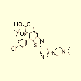 Cc1cc2nc(-c3cncc(N4CCN(C(C)C)CC4)c3)sc2c(-c2ccc(Cl)cc2)c1[C@H](OC(C)(C)C)C(=O)O